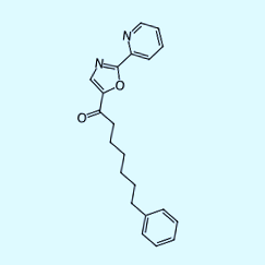 O=C(CCCCCCc1ccccc1)c1cnc(-c2ccccn2)o1